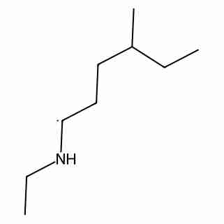 CCN[CH]CCC(C)CC